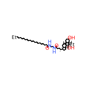 CCC=CCC=CCC=CCC=CCC=CCC=CCCC(=O)NCCNC(=O)CC[C@@H](C)C1CC[C@H]2[C@@H]3[C@H](O)[C@H](CC)[C@@H]4C[C@H](O)CC[C@]4(C)[C@H]3CC[C@]12C